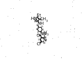 CCc1[nH]nc(NCC2CCC(NC(=O)c3cc(Cl)cnc3C)CC2)c1C